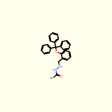 CC(C)C(=O)NNCc1ccccc1OC(c1ccccc1)(c1ccccc1)c1ccccc1